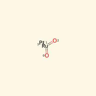 [O]=[Ru]=[O].[Pt]